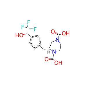 O=C(O)N1CCN(C(=O)O)[C@H](Cc2ccc(C(O)C(F)(F)F)cc2)C1